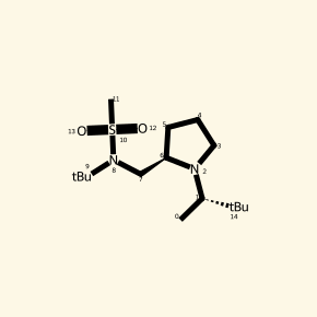 C[C@H](N1CCC[C@@H]1CN(C(C)(C)C)S(C)(=O)=O)C(C)(C)C